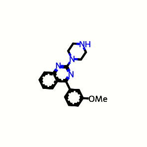 COc1cccc(-c2nc(N3CCNCC3)nc3ccccc23)c1